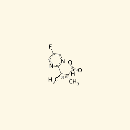 C[C@H]([C@@H](C)c1ncc(F)cn1)[SH](=O)=O